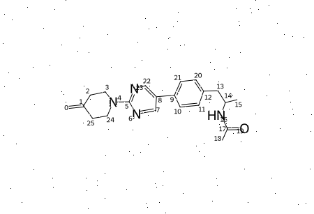 C=C1CCN(c2ncc(-c3ccc(CC(C)NC(C)=O)cc3)cn2)CC1